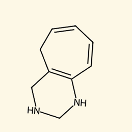 C1=CCC2=C(C=C1)NCNC2